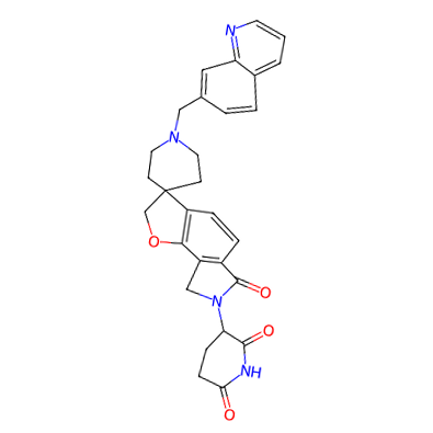 O=C1CCC(N2Cc3c(ccc4c3OCC43CCN(Cc4ccc5cccnc5c4)CC3)C2=O)C(=O)N1